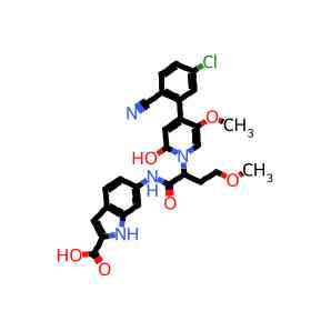 COCCC(C(=O)Nc1ccc2cc(C(=O)O)[nH]c2c1)N1C=C(OC)C(c2cc(Cl)ccc2C#N)=CC1O